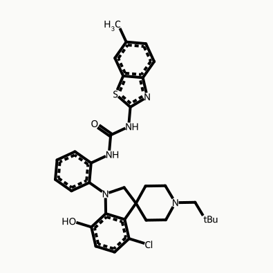 Cc1ccc2nc(NC(=O)Nc3ccccc3N3CC4(CCN(CC(C)(C)C)CC4)c4c(Cl)ccc(O)c43)sc2c1